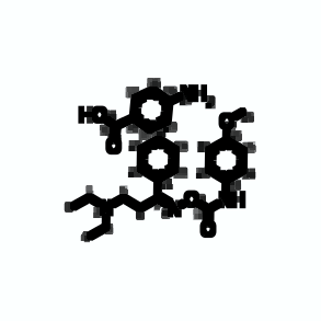 CCN(CC)CC/C(=N/OC(=O)Nc1ccc(OC)cc1)c1ccccc1.Nc1ccc(C(=O)O)cc1